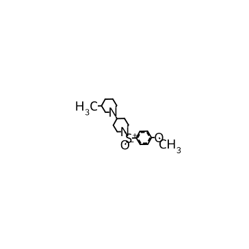 COc1ccc([S+]([O-])N2CCC(N3CCCC(C)C3)CC2)cc1